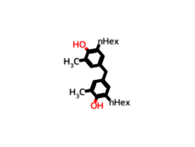 CCCCCCc1cc(Cc2cc(C)c(O)c(CCCCCC)c2)cc(C)c1O